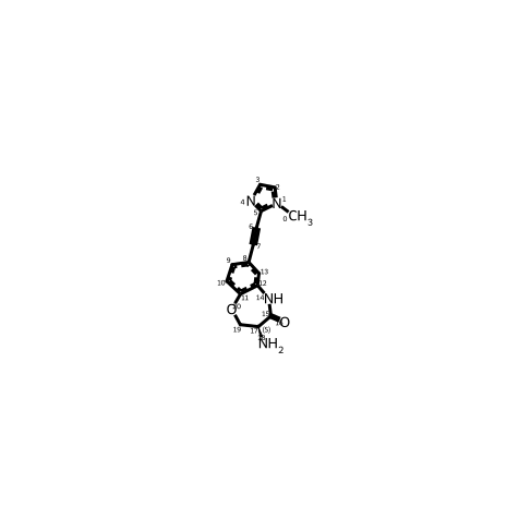 Cn1ccnc1C#Cc1ccc2c(c1)NC(=O)[C@@H](N)CO2